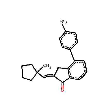 CC1(C=C2Cc3c(cccc3-c3ccc(C(C)(C)C)cc3)C2=O)CCCC1